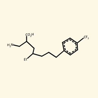 CCC(CCCc1ccc(C(F)(F)F)cc1)CC(CN)C(=O)O